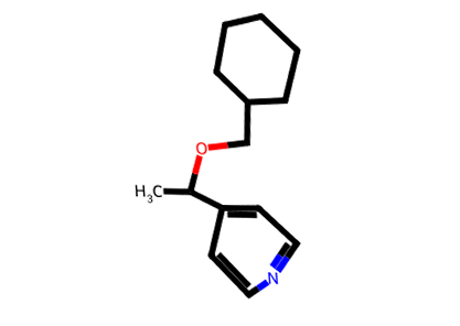 CC(OCC1CCCCC1)c1ccncc1